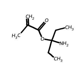 C=C(C)C(=O)OC(N)(CC)CC